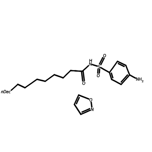 CCCCCCCCCCCCCCCCCC(=O)NS(=O)(=O)c1ccc(N)cc1.c1cnoc1